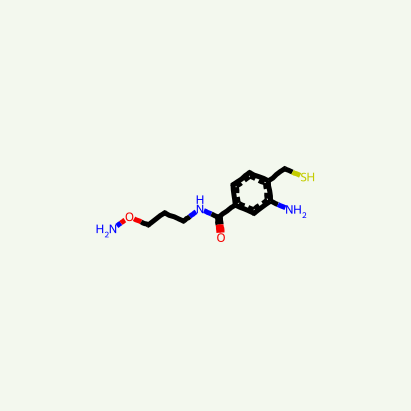 NOCCCNC(=O)c1ccc(CS)c(N)c1